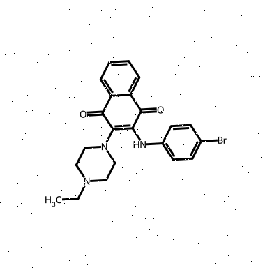 CCN1CCN(C2=C(Nc3ccc(Br)cc3)C(=O)c3ccccc3C2=O)CC1